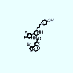 O=C(N[C@@H]1CN[C@H](CCCN2CCC(O)CC2)C[C@H]1c1ccc(F)c(F)c1)c1cc2c(s1)OCCn1ncc(Br)c1-2